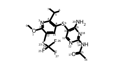 COc1nc(C(C)C)c(Sc2cnc(NC(C)=O)nc2N)cc1SC(F)(F)F